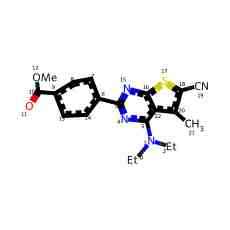 CCN(CC)c1nc(-c2ccc(C(=O)OC)cc2)nc2sc(C#N)c(C)c12